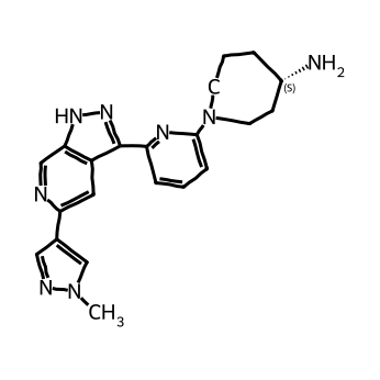 Cn1cc(-c2cc3c(-c4cccc(N5CCC[C@H](N)CC5)n4)n[nH]c3cn2)cn1